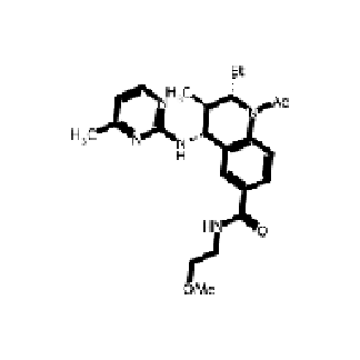 CC[C@H]1[C@H](C)[C@@H](Nc2nccc(C)n2)c2cc(C(=O)NCCOC)ccc2N1C(C)=O